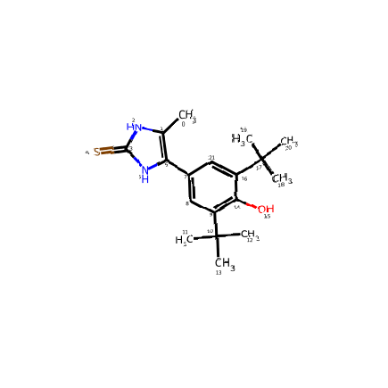 Cc1[nH]c(=S)[nH]c1-c1cc(C(C)(C)C)c(O)c(C(C)(C)C)c1